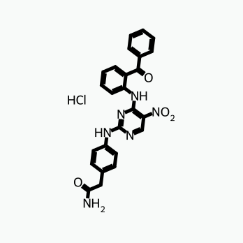 Cl.NC(=O)Cc1ccc(Nc2ncc([N+](=O)[O-])c(Nc3ccccc3C(=O)c3ccccc3)n2)cc1